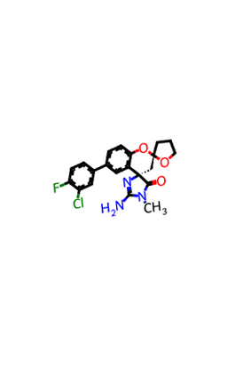 CN1C(=O)[C@@]2(C[C@]3(CCCO3)Oc3ccc(-c4ccc(F)c(Cl)c4)cc32)N=C1N